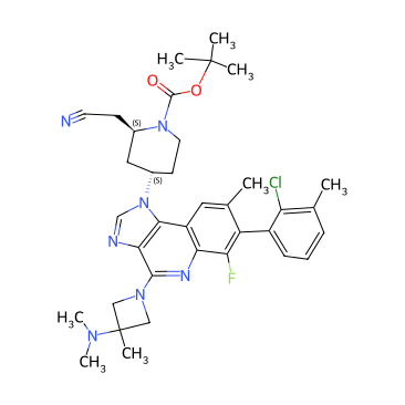 Cc1cccc(-c2c(C)cc3c(nc(N4CC(C)(N(C)C)C4)c4ncn([C@H]5CCN(C(=O)OC(C)(C)C)[C@H](CC#N)C5)c43)c2F)c1Cl